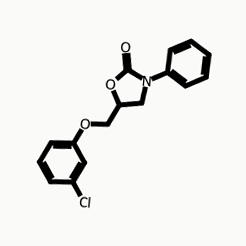 O=C1OC(COc2cccc(Cl)c2)CN1c1ccccc1